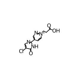 O=C(O)CC[n+]1ccc(-c2ncc(Cl)c(=O)[nH]2)cn1